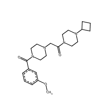 COc1cccc(C(=O)N2CCN(CC(=O)N3CCN(C4CCC4)CC3)CC2)c1